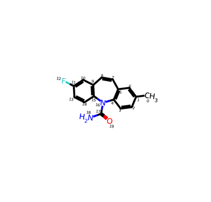 Cc1ccc2c(c1)C=Cc1cc(F)ccc1N2C(N)=O